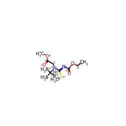 BC(B)(B)N(CC(=O)OC)/C(=N/C(=O)OCC)SC